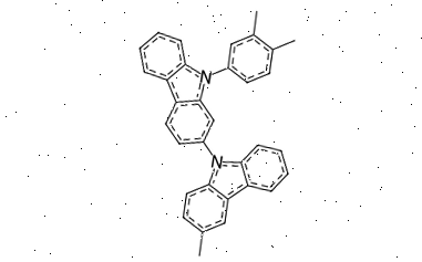 Cc1ccc2c(c1)c1ccccc1n2-c1ccc2c3ccccc3n(-c3ccc(C)c(C)c3)c2c1